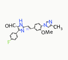 COc1cc(/C=C/c2nc(-c3ccc(F)cc3)c(C=O)[nH]2)ccc1-n1cnc(C)c1